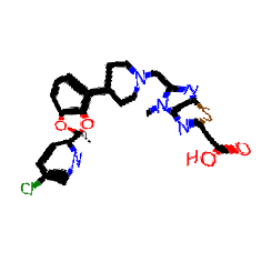 Cn1c(CN2CCC(c3cccc4c3O[C@@](C)(c3ccc(Cl)cn3)O4)CC2)nc2sc(C(=O)O)nc21